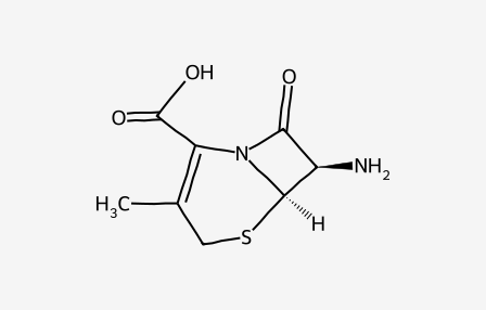 CC1=C(C(=O)O)N2C(=O)[C@@H](N)[C@H]2SC1